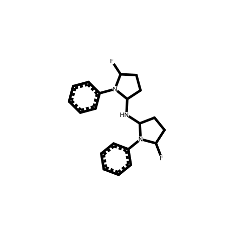 FC1CCC(NC2CCC(F)N2c2ccccc2)N1c1ccccc1